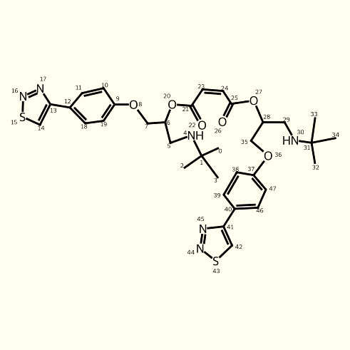 CC(C)(C)NCC(COc1ccc(-c2csnn2)cc1)OC(=O)/C=C\C(=O)OC(CNC(C)(C)C)COc1ccc(-c2csnn2)cc1